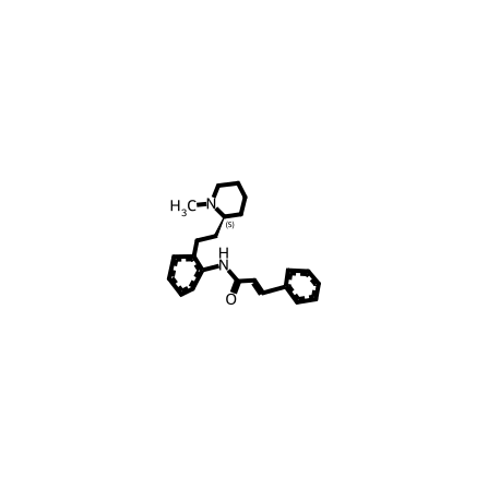 CN1CCCC[C@H]1CCc1ccccc1NC(=O)C=Cc1ccccc1